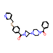 O=C(c1ccccc1)N1CCN(C2CN(C(=O)c3ccc(SCc4cccnc4)cc3)C2)CC1